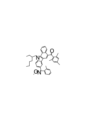 CCCCC(CC)Cn1c2ccc(/C(=N\OC)c3ccccc3C)cc2c2cc(C(=O)c3c(C)cc(C)cc3C)c3ccccc3c21